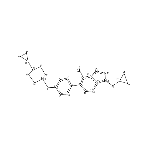 Clc1c(-c2ccc(CN3CCC(C4CC4)CC3)cc2)ccc2c1nnn2CC1CC1